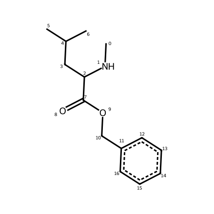 CNC(CC(C)C)C(=O)OCc1ccccc1